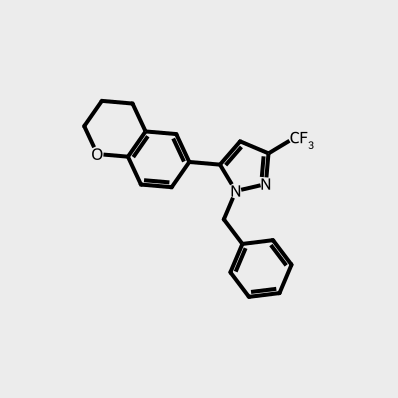 FC(F)(F)c1cc(-c2ccc3c(c2)CCCO3)n(Cc2ccccc2)n1